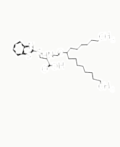 CCCCCCCCCC(CCCCCCC)OCNC(CSc1nc2ccccc2s1)C(=O)O